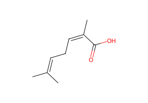 CC(C)=CCC=C(C)C(=O)O